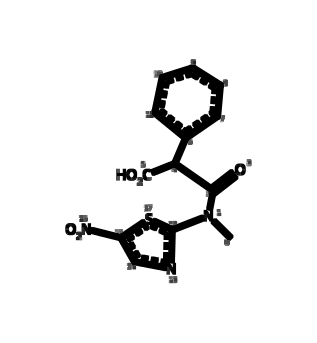 CN(C(=O)C(C(=O)O)c1ccccc1)c1ncc([N+](=O)[O-])s1